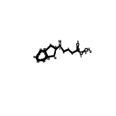 COC(=O)CCCNC1Cc2ccccc2C1